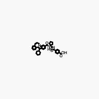 O=C(O)c1ccc(-c2nc(C3(NC(=O)c4ccc5c(C6CCCCC6)c6n(c5c4)CC=Cc4ccccc4-6)CCCC3)no2)cc1